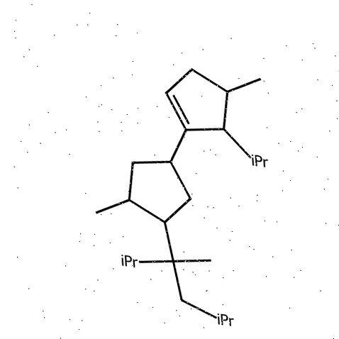 CC(C)CC(C)(C(C)C)C1CC(C2=CCC(C)C2C(C)C)CC1C